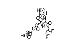 O=C(OCCOP(=O)(O)O)OCOc1c2n(cc(C(=O)NCc3ccc(F)cc3F)c1=O)C[C@@H]1N(C[C@H]3CCCN31)C2=O